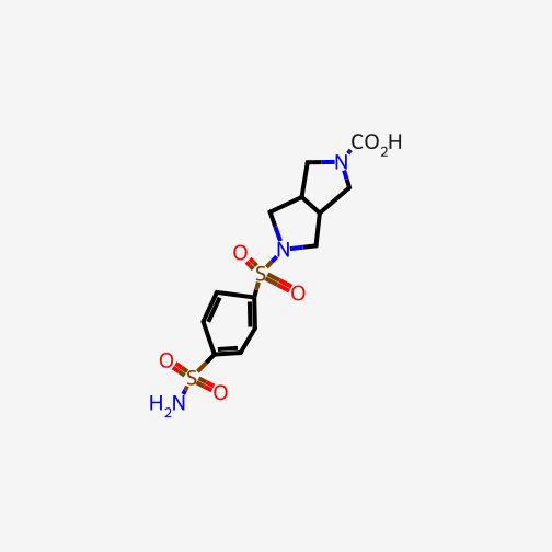 NS(=O)(=O)c1ccc(S(=O)(=O)N2CC3CN(C(=O)O)CC3C2)cc1